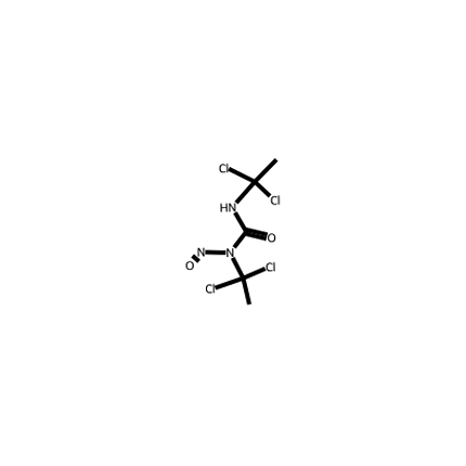 CC(Cl)(Cl)NC(=O)N(N=O)C(C)(Cl)Cl